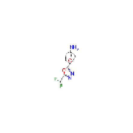 NC12CCC(c3nnc(C(F)F)o3)(CC1)OC2